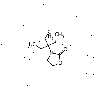 CCC(CC)(CC)N1CCOC1=O